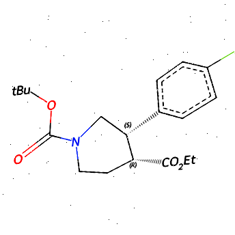 CCOC(=O)[C@@H]1CCN(C(=O)OC(C)(C)C)C[C@@H]1c1ccc(F)cc1